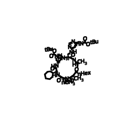 CCCCCC[C@H]1OC[C@@H](C)NC(=O)[C@H](CNc2cc(CNC(=O)OC(C)(C)C)ncn2)NC(=O)[C@H](CNC(=O)OC(C)(C)C)NC(=O)[C@H](C2CCCCCC2)NC(=O)[C@H](CCC)N(C)C(=O)[C@@H]1C